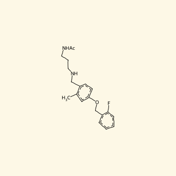 CC(=O)NCCCNCc1ccc(OCc2ccccc2F)cc1C